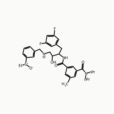 CCCN(CCC)C(=O)c1cc(C)cc(C(=O)NC(Cc2cc(F)cc(F)c2)C(O)CNCc2cccc([S+]([O-])CC)c2)c1